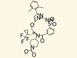 COC(=O)N1CCC(N2C(=O)c3cccc(c3)S(=O)(=O)Nc3nc(cc(-c4c(C)cccc4C)n3)OC[C@H]2CC2(C(F)(F)F)CC2)CC1